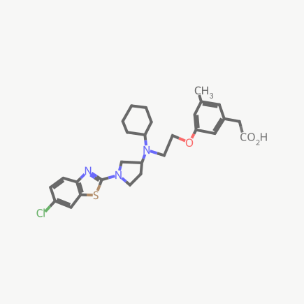 Cc1cc(CC(=O)O)cc(OCCN(C2CCCCC2)C2CCN(c3nc4ccc(Cl)cc4s3)C2)c1